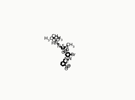 CSc1sc(/N=C/NC(=O)OC(C)(C)C)cc1S(=O)(=O)c1cc(Br)c2ncn(Cc3cccc([N+](=O)[O-])c3F)c2c1